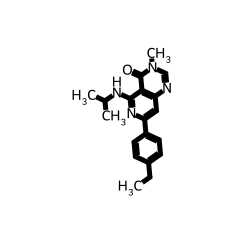 CCc1ccc(-c2cc3ncn(C)c(=O)c3c(NC(C)C)n2)cc1